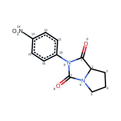 O=C1C2CCCN2C(=O)N1c1ccc([N+](=O)[O-])cc1